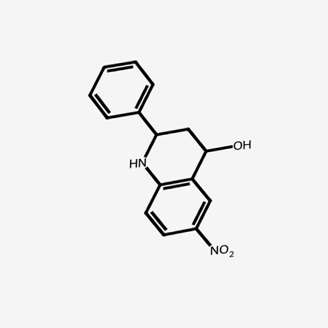 O=[N+]([O-])c1ccc2c(c1)C(O)CC(c1ccccc1)N2